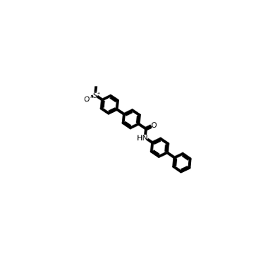 C[S+]([O-])c1ccc(-c2ccc(C(=O)Nc3ccc(-c4ccccc4)cc3)cc2)cc1